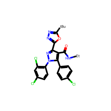 CCNC(=O)c1c(-c2nnc(C(C)(C)C)o2)nn(-c2ccc(Cl)cc2Cl)c1-c1ccc(Cl)cc1